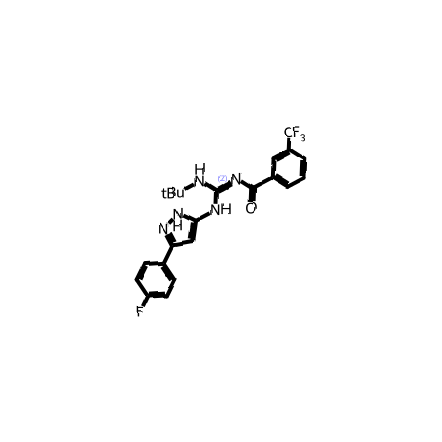 CC(C)(C)N/C(=N/C(=O)c1cccc(C(F)(F)F)c1)Nc1cc(-c2ccc(F)cc2)n[nH]1